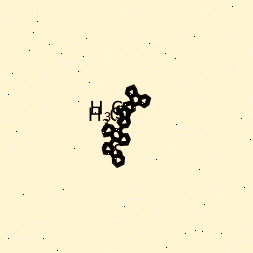 C[Si]1(C)c2cc(-c3c4ccccc4c(-c4cccc5c4sc4ccccc45)c4ccccc34)ccc2-c2cc3c4ccccc4c4ccccc4c3cc21